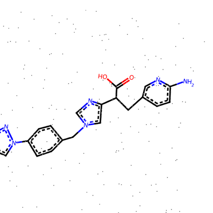 Nc1ccc(CC(C(=O)O)c2cn(Cc3ccc(-n4cncn4)cc3)cn2)cn1